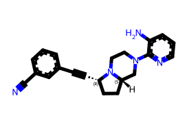 N#Cc1cccc(C#C[C@H]2CC[C@H]3CN(c4ncccc4N)CCN32)c1